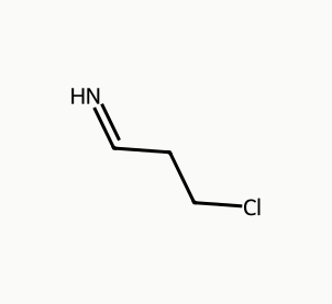 N=CCCCl